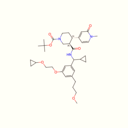 COCCCc1cc(OCCOC2CC2)cc(C(NC(=O)[C@H]2CN(C(=O)OC(C)(C)C)CC[C@@H]2c2ccn(C)c(=O)c2)C2CC2)c1